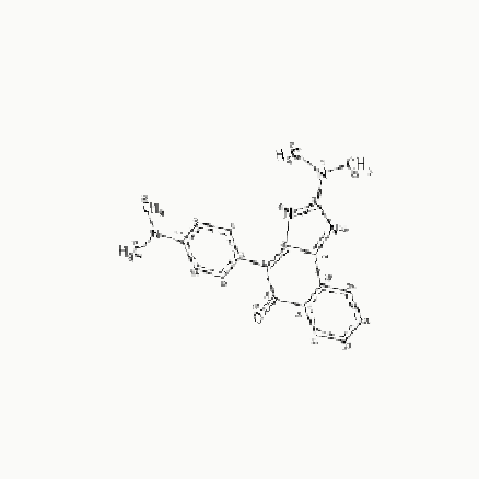 CN(C)C1=NC2=C(c3ccc(N(C)C)cc3)C(=O)c3ccccc3C2=N1